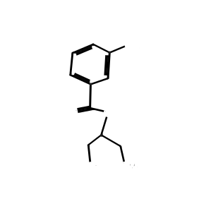 COCC(CC(C)C)OC(=O)c1cccc(C)c1